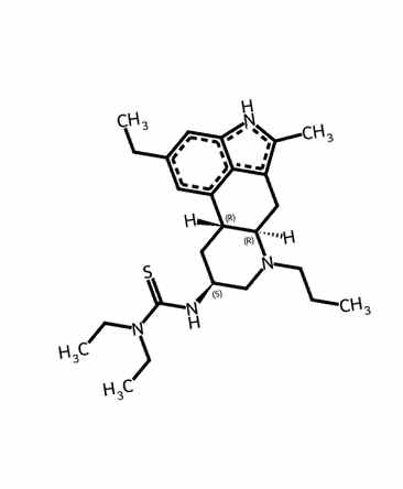 CCCN1C[C@@H](NC(=S)N(CC)CC)C[C@@H]2c3cc(CC)cc4[nH]c(C)c(c34)C[C@H]21